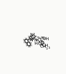 CC1(C)OC2C(Nc3ccnc4cc(-c5cccc6ccccc56)nn34)C[C@H](CO)C2O1